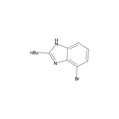 CCCCc1nc2c(Br)cccc2[nH]1